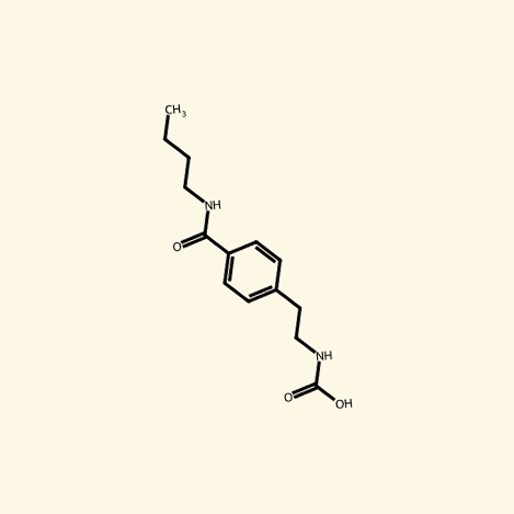 CCCCNC(=O)c1ccc(CCNC(=O)O)cc1